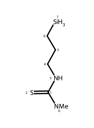 CNC(=S)NCCC[SiH3]